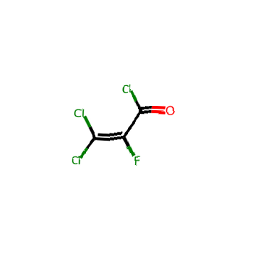 O=C(Cl)C(F)=C(Cl)Cl